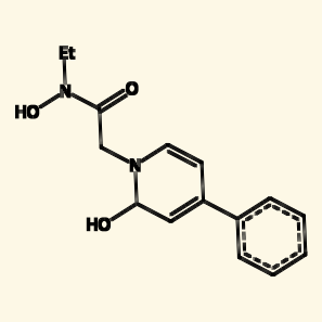 CCN(O)C(=O)CN1C=CC(c2ccccc2)=CC1O